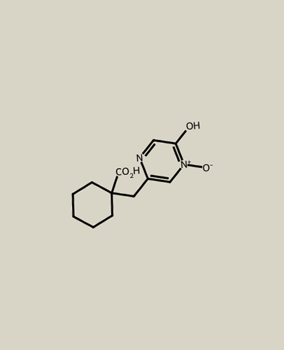 O=C(O)C1(Cc2c[n+]([O-])c(O)cn2)CCCCC1